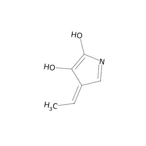 CC=C1C=NC(O)=C1O